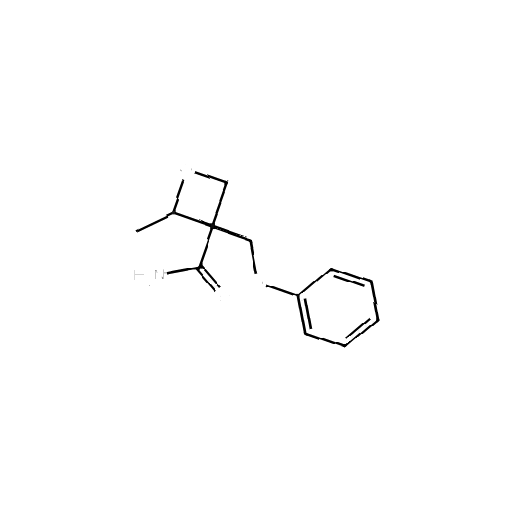 CC1OCC1(COc1ccccc1)C(N)=O